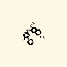 COc1cc2c(cc1Nc1ncc(Cl)c(N3C=CC=NC3)n1)CN(C)CC2